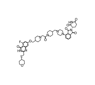 O=C1CC[C@H](N2C(=O)c3cccc(N4CCN(CC5CCN(C(=O)CN6CCC(COc7cc(F)c8c(=O)[nH]c(CSC9CCOCC9)nc8c7)CC6)CC5)CC4)c3C2=O)C(=O)N1